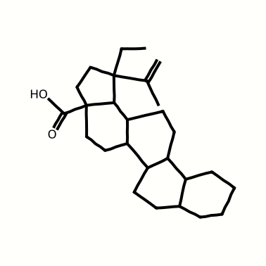 C=C(C)C1(CC)CCC2(C(=O)O)CCC3C4CCC5CCCCC5C4CCC3C12